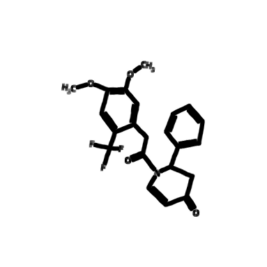 COc1cc(CC(=O)N2C=CC(=O)CC2c2ccccc2)c(C(F)(F)F)cc1OC